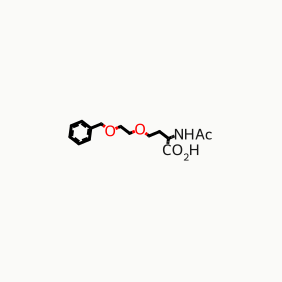 CC(=O)NC(CCOCCOCc1ccccc1)C(=O)O